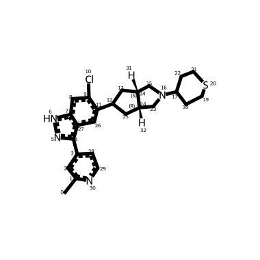 Cc1cc(-c2n[nH]c3cc(Cl)c(C4C[C@@H]5CN(C6CCSCC6)C[C@@H]5C4)cc23)ccn1